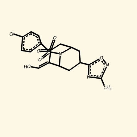 Cc1noc(C2CC3CC(=O)C(=CO)C(C2)N3S(=O)(=O)c2ccc(Cl)cc2)n1